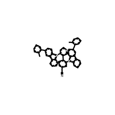 Cc1ccccc1-c1ccc2c(c1)c1ccccc1n2-c1ccncc1-c1ccc(C#N)cc1-n1c2ccccc2c2cc(-c3ccccc3C)ccc21